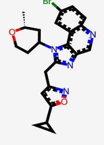 C[C@@H]1CC(n2c(Cc3cc(C4CC4)on3)nc3cnc4ccc(Br)cc4c32)CCO1